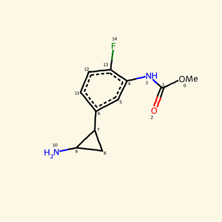 COC(=O)Nc1cc(C2CC2N)ccc1F